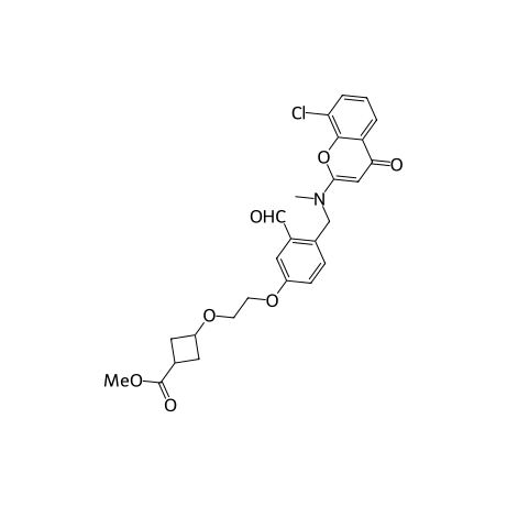 COC(=O)C1CC(OCCOc2ccc(CN(C)c3cc(=O)c4cccc(Cl)c4o3)c(C=O)c2)C1